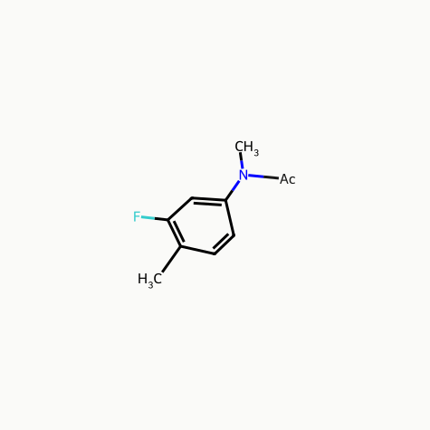 CC(=O)N(C)c1ccc(C)c(F)c1